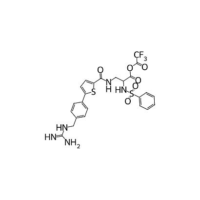 N=C(N)NCc1ccc(-c2ccc(C(=O)NCC(NS(=O)(=O)c3ccccc3)C(=O)OC(=O)C(F)(F)F)s2)cc1